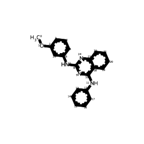 COc1cccc(Nc2nc(Nc3ccccc3)c3ccccc3n2)c1